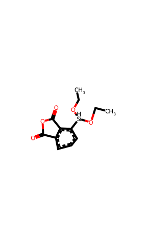 CCO[SiH](OCC)c1cccc2c1C(=O)OC2=O